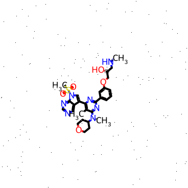 CNC[C@@H](O)COc1cccc(-c2nc(-c3cn(S(C)(=O)=O)c4ncncc34)c(C)c(N(C)C3CCOCC3)n2)c1